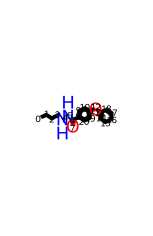 CCCCNNC(=O)c1ccc(OC2=CCCC=C2)cc1